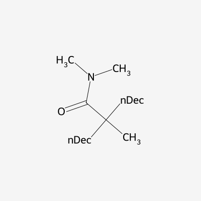 CCCCCCCCCCC(C)(CCCCCCCCCC)C(=O)N(C)C